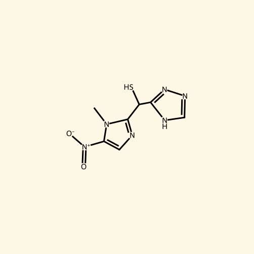 Cn1c([N+](=O)[O-])cnc1C(S)c1nnc[nH]1